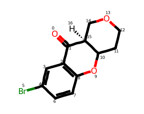 O=C1c2cc(Br)ccc2OC2CCOC[C@H]12